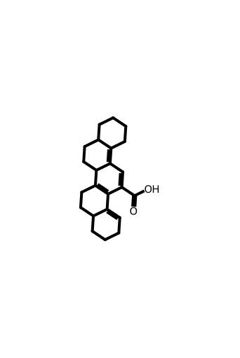 O=C(O)C1=CC2=C3CCCCC3CCC2C2=C1C1=CCCCC1CC2